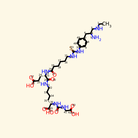 CCNCC(N)Cc1ccc(NC(=S)NCCCCCC(=O)N[C@@H](CCC(=O)O)C(=O)NCCCC[C@H](NC(=O)NCC(=O)O)C(=O)O)cc1